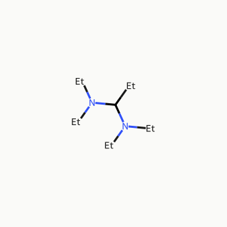 [CH2]CC(N(CC)CC)N(CC)CC